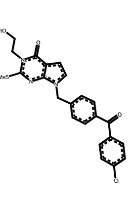 CSc1nc2c(ccn2Cc2ccc(C(=O)c3ccc(Cl)cc3)cc2)c(=O)n1CCO